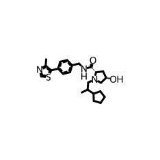 Cc1ncsc1-c1ccc(CNC(=O)[C@@H]2C[C@@H](O)CN2CC(C)C2CCCC2)cc1